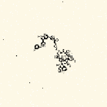 CC[C@@H](NC(=O)[C@@H]1C[C@H](NCCOCCOCCC(=O)n2cc(-c3cnc4[nH]cc(-c5cnn(Cc6cccc(F)c6)c5)c4c3)cn2)CN1C(=O)C(NC(=O)[C@H](C)NC)C(C)(C)C)c1ccccc1